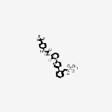 CS(=O)(=O)NCc1ccccc1-c1ccc(N2CCC[C@@H](NC(=O)Nc3ccc(C(F)(F)F)cc3)C2=O)nc1